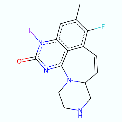 Cc1cc2c3c(nc(=O)n2I)N2CCNCC2C=Cc3c1F